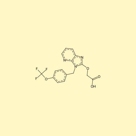 O=C(O)COc1nc2cccnc2n1Cc1ccc(OC(F)(F)F)cc1